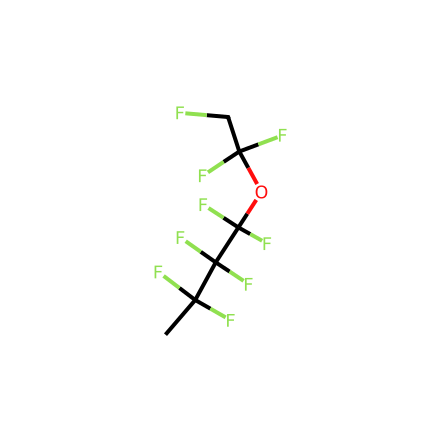 CC(F)(F)C(F)(F)C(F)(F)OC(F)(F)CF